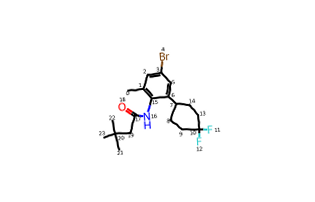 Cc1cc(Br)cc(C2CCC(F)(F)CC2)c1NC(=O)CC(C)(C)C